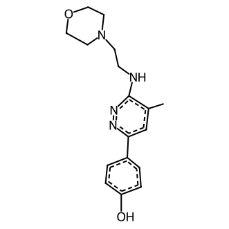 Cc1cc(-c2ccc(O)cc2)nnc1NCCN1CCOCC1